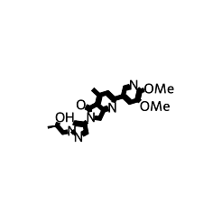 COc1cc(-c2cc(C)c3c(n2)CN(c2cnn(C[C@@H](C)O)c2)C3=O)cnc1OC